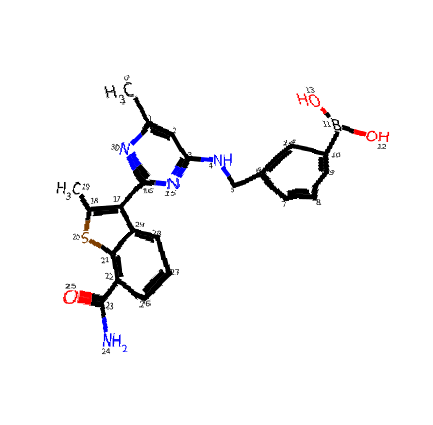 Cc1cc(NCc2cccc(B(O)O)c2)nc(-c2c(C)sc3c(C(N)=O)cccc23)n1